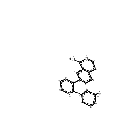 Nc1nccc2ccc(-c3cccnc3-c3cccc(Cl)c3)cc12